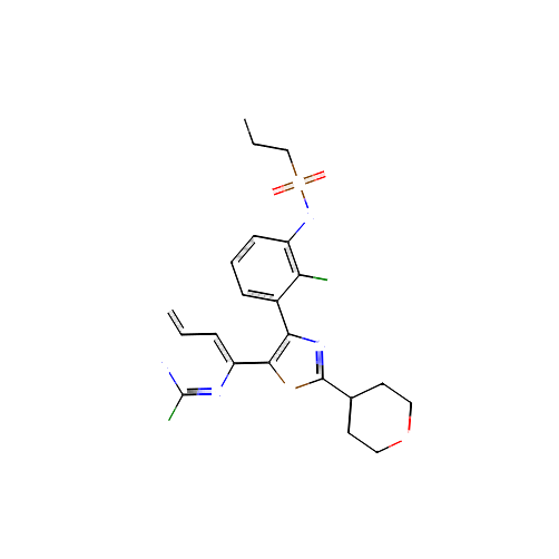 C=C/C=C(\N=C(/N)Cl)c1sc(C2CCOCC2)nc1-c1cccc(NS(=O)(=O)CCC(F)(F)F)c1Cl